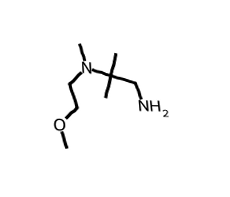 COCCN(C)C(C)(C)CN